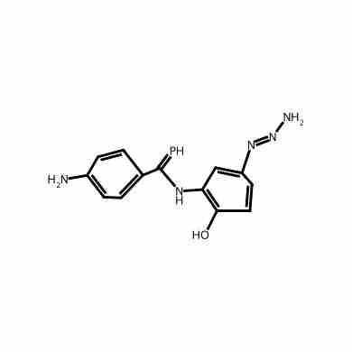 NN=Nc1ccc(O)c(NC(=P)c2ccc(N)cc2)c1